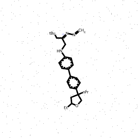 C=N/N=C(\CNc1ccc(-c2ccc(C3(CCC)COC(CC)C3)cc2)cc1)CC(C)(C)C